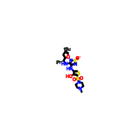 CC(C)[C@@H](Nc1n[s+]([O-])nc1Nc1csc(S(=O)(=O)N2CCN(C)CC2)c1O)C1CC(C(C)(C)C)=CO1